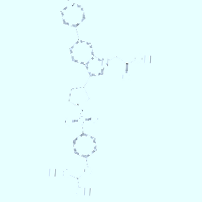 CC(C)Oc1ccc(S(=O)(=O)N2CCC(c3cn(CC(=O)O)c4cc(-c5ccncc5)ccc34)C2)cc1